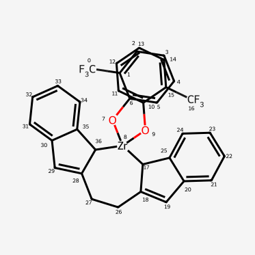 FC(F)(F)c1ccccc1[O][Zr]1([O]c2ccccc2C(F)(F)F)[CH]2C(=Cc3ccccc32)CCC2=Cc3ccccc3[CH]21